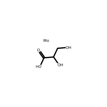 O=C(O)C(O)CO.[Mo]